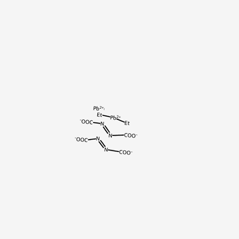 C[CH2][Pb+2][CH2]C.O=C([O-])N=NC(=O)[O-].O=C([O-])N=NC(=O)[O-].[Pb+2]